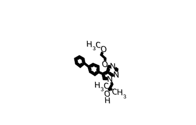 COCCOc1ncnc2c1c(-c1ccc(-c3ccccc3)cc1)cn2CC(C)(C)O